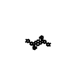 Cc1ccc(-c2ccc3c(c2)c2cc4c5c(c2n3-c2ccccn2)CCc2cc3c6cc(-c7ccc(C)c(C)c7)ccc6n(-c6ccccn6)c3c(c2-5)CC4)cc1C